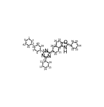 c1ccc(-c2ccc(-c3nc(-c4ccccc4)nc(-c4ccc5c6c(ccc5c4)OC(c4ccccc4)N6)n3)cc2)cc1